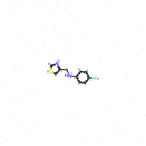 Fc1ccc(NCc2cs[c]n2)cc1